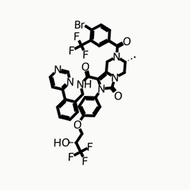 C[C@@H]1Cn2c(c(C(=O)NCc3ccccc3-c3ccncn3)n(-c3ccc(OC[C@@H](O)C(F)(F)F)cc3)c2=O)CN1C(=O)c1ccc(Br)c(C(F)(F)F)c1